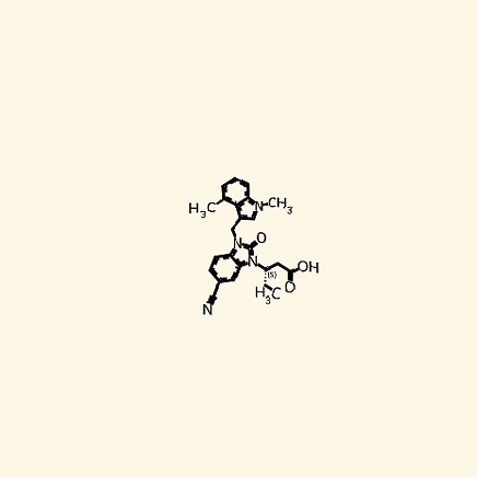 CC[C@@H](CC(=O)O)n1c(=O)n(Cc2cn(C)c3cccc(C)c23)c2ccc(C#N)cc21